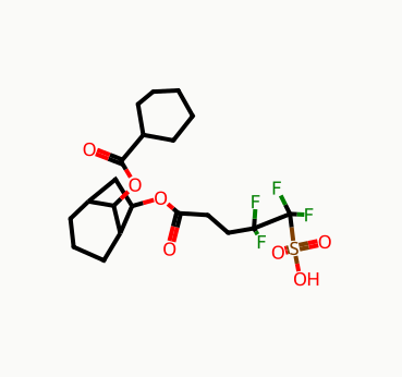 O=C(CCC(F)(F)C(F)(F)S(=O)(=O)O)OC1CC2CCCC1C2OC(=O)C1CCCCC1